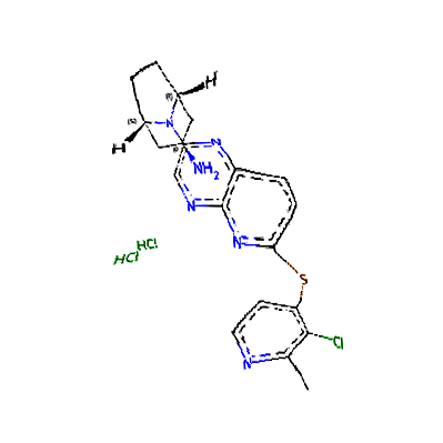 Cc1nccc(Sc2ccc3nc(N4[C@@H]5CC[C@H]4C[C@H](N)C5)cnc3n2)c1Cl.Cl.Cl